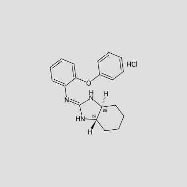 Cl.c1ccc(Oc2ccccc2N=C2N[C@H]3CCCC[C@@H]3N2)cc1